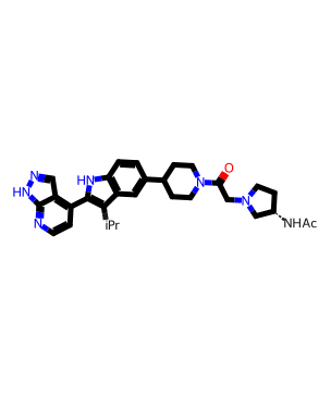 CC(=O)N[C@H]1CCN(CC(=O)N2CCC(c3ccc4[nH]c(-c5ccnc6[nH]ncc56)c(C(C)C)c4c3)CC2)C1